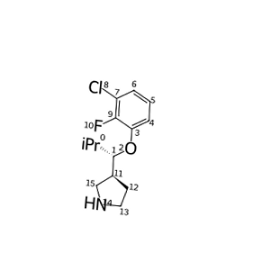 CC(C)[C@H](Oc1cccc(Cl)c1F)[C@H]1CCNC1